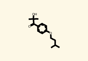 CC(C)CCOc1ccc(C(=O)C(C)(C)O)cc1